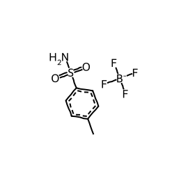 Cc1ccc(S(N)(=O)=O)cc1.F[B-](F)(F)F